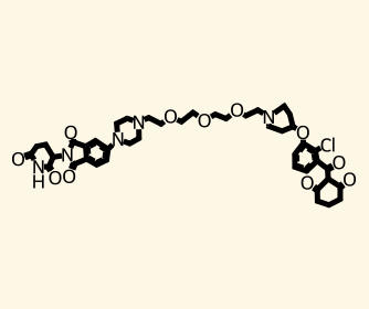 O=C1CCC(N2C(=O)c3ccc(N4CCN(CCOCCOCCOCCN5CCC(Oc6cccc(C(=O)C7C(=O)CCCC7=O)c6Cl)CC5)CC4)cc3C2=O)C(=O)N1